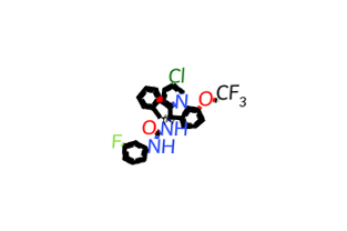 O=C(Nc1cccc(F)c1)N[C@](Cc1ccccc1)(c1cccc(OCC(F)(F)F)c1)c1ccc(Cl)cn1